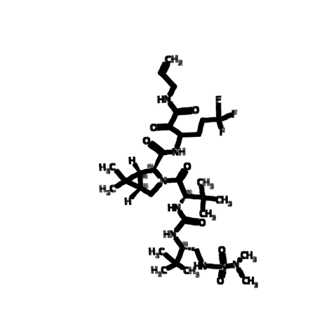 C=CCNC(=O)C(=O)C(CCC(F)(F)F)NC(=O)[C@@H]1[C@@H]2[C@H](CN1C(=O)[C@@H](NC(=O)N[C@H](CNS(=O)(=O)N(C)C)C(C)(C)C)C(C)(C)C)C2(C)C